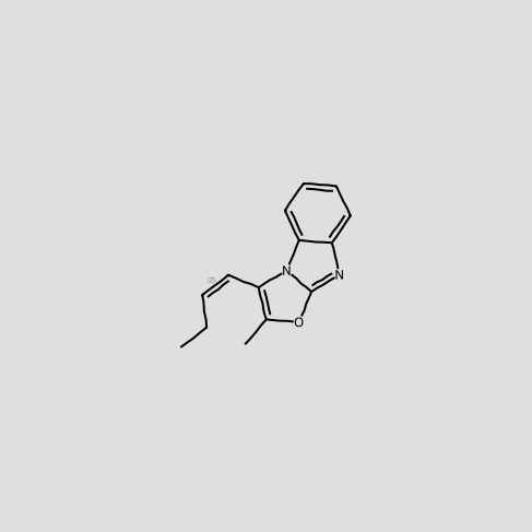 CC/C=C\c1c(C)oc2nc3ccccc3n12